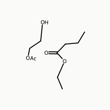 CC(=O)OCCO.CCCC(=O)OCC